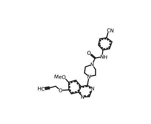 C#CCOc1cc2ncnc(N3CCN(C(=O)Nc4ccc(C#N)cc4)CC3)c2cc1OC